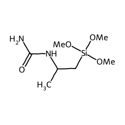 CO[Si](CC(C)NC(N)=O)(OC)OC